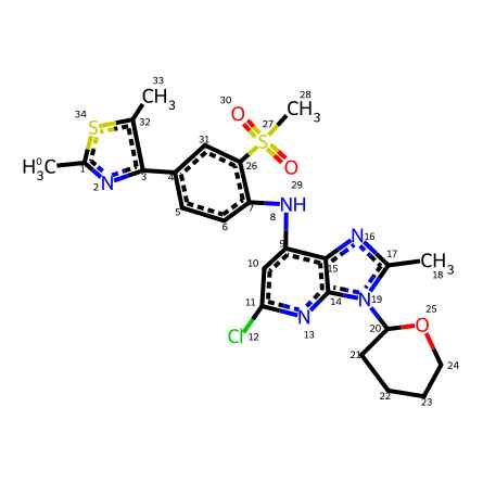 Cc1nc(-c2ccc(Nc3cc(Cl)nc4c3nc(C)n4C3CCCCO3)c(S(C)(=O)=O)c2)c(C)s1